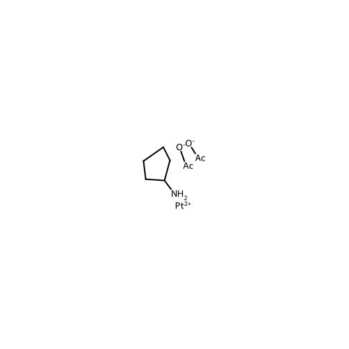 CC(=O)[O-].CC(=O)[O-].NC1CCCC1.[Pt+2]